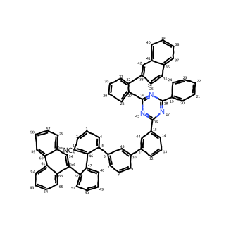 N#Cc1cccc(-c2cccc(-c3cccc(-c4nc(-c5ccccc5)nc(-c5ccccc5-c5ccc6ccccc6c5)n4)c3)c2)c1-c1ccccc1-c1cc2ccccc2c2ccccc12